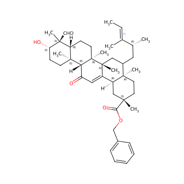 C/C=C(\C)[C@H](C)CC1C[C@]2(C)C(=CC(=O)[C@@H]3[C@@]4(C)CC[C@H](O)[C@@](C)(C=O)[C@@H]4CC[C@]32C)[C@@H]2C[C@@](C)(C(=O)OCc3ccccc3)CC[C@]12C